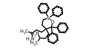 CC(N)CCC1(CCC(C)N)CC[Si](c2ccccc2)(c2ccccc2)OC1(c1ccccc1)c1ccccc1